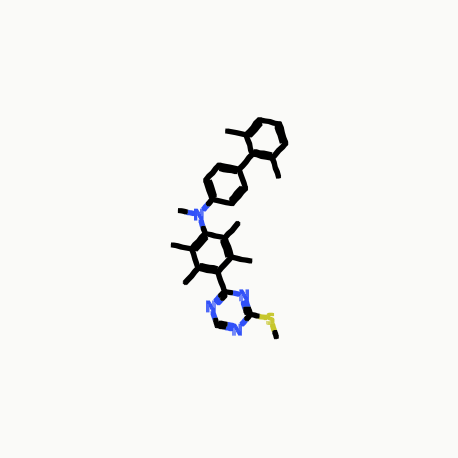 CSc1ncnc(-c2c(C)c(C)c(N(C)c3ccc(-c4c(C)cccc4C)cc3)c(C)c2C)n1